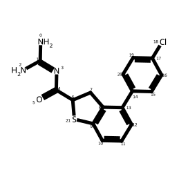 NC(N)=NC(=O)C1Cc2c(cccc2-c2ccc(Cl)cc2)S1